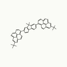 CC(C)(C)c1cc2ccc3ccc(-c4ccc5c(c4)C(C)(C)c4cc(-c6ccc7ccc8cc(C(C)(C)C)cc9ccc6c7c89)ccc4-5)c4ccc(c1)c2c34